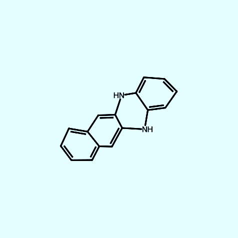 c1ccc2c(c1)Nc1cc3ccccc3cc1N2